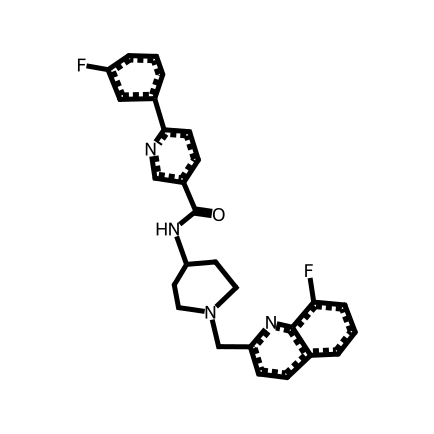 O=C(NC1CCN(Cc2ccc3cccc(F)c3n2)CC1)c1ccc(-c2cccc(F)c2)nc1